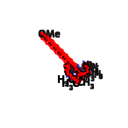 COCCOCCOCCOCCOCCOCCOCCOCCOCCOCCOCCOCCOCCOCCOCCOCCOCC#Cc1cc(NC(=O)[C@H](C)NC(=O)[C@@H](NC(=O)OC(C)(C)C)C(C)C)ccc1COC(=O)N(CCOC12CC3(C)CC(C)(CC(Cn4ncc(-c5ccc(N6CCc7cccc(C(=O)Nc8nc9ccccc9s8)c7C6)nc5C(=O)O)c4C)(C3)C1)C2)CCS(=O)(=O)O